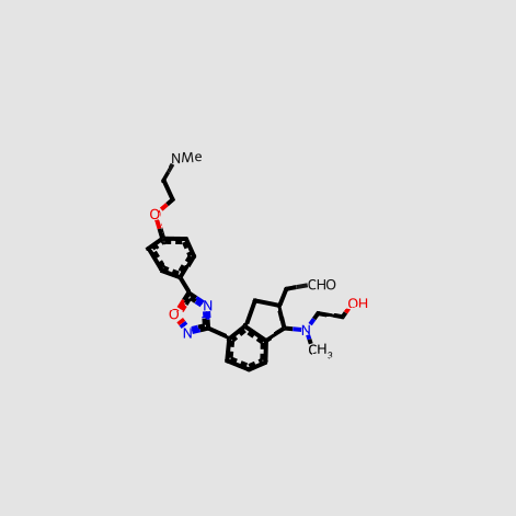 CNCCOc1ccc(-c2nc(-c3cccc4c3CC(CC=O)C4N(C)CCO)no2)cc1